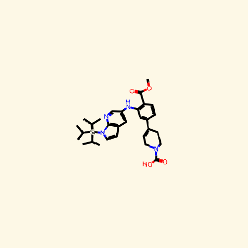 COC(=O)c1ccc(C2=CCN(C(=O)O)CC2)cc1Nc1cnc2c(ccn2[Si](C(C)C)(C(C)C)C(C)C)c1